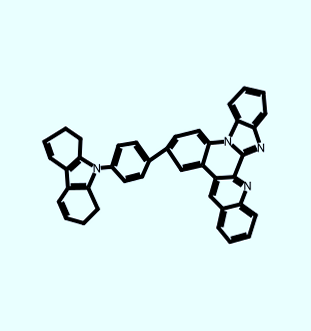 C1=Cc2c3c(n(-c4ccc(-c5ccc6c(c5)c5cc7ccccc7nc5c5nc7ccccc7n65)cc4)c2CC1)CCC=C3